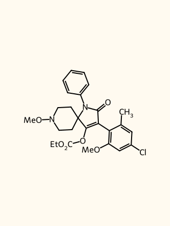 CCOC(=O)OC1=C(c2c(C)cc(Cl)cc2OC)C(=O)N(c2ccccc2)C12CCN(OC)CC2